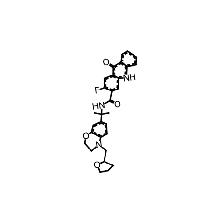 CC(C)(NC(=O)c1cc2[nH]c3ccccc3c(=O)c2cc1F)c1ccc2c(c1)OCCN2CC1CCCO1